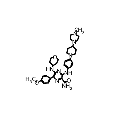 COc1ccc(-c2nc(C(N)=O)c(Nc3ccc(N4CCC(N5CCN(C)CC5)CC4)cc3)nc2NC2CCOCC2)cc1